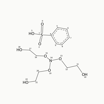 O=S(=O)(O)c1ccccc1.OCCON(OCCO)OCCO